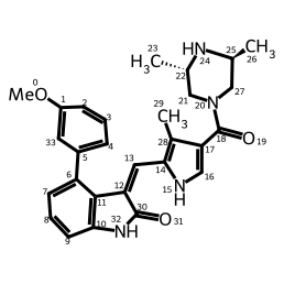 COc1cccc(-c2cccc3c2/C(=C/c2[nH]cc(C(=O)N4C[C@H](C)N[C@@H](C)C4)c2C)C(=O)N3)c1